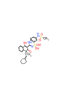 CC1(CC=C2CCCCC2)C(=O)C(C2=NS(O)(O)c3cc(NS(C)(=O)=O)ccc3N2)=C(O)c2ccccc21